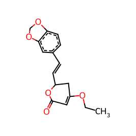 CCOC1=CC(=O)OC(C=Cc2ccc3c(c2)OCO3)C1